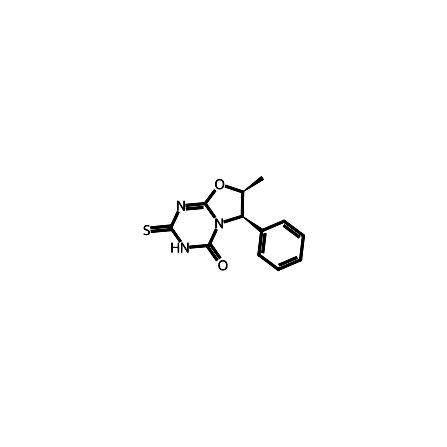 C[C@@H]1Oc2nc(=S)[nH]c(=O)n2[C@@H]1c1ccccc1